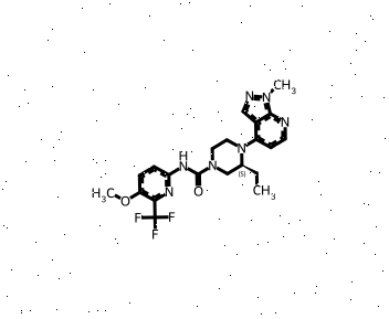 CC[C@H]1CN(C(=O)Nc2ccc(OC)c(C(F)(F)F)n2)CCN1c1ccnc2c1cnn2C